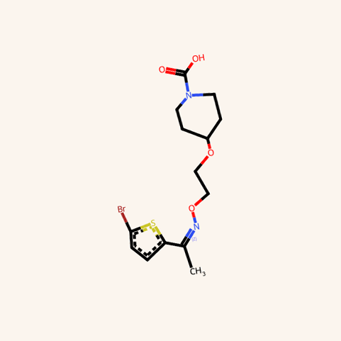 C/C(=N/OCCOC1CCN(C(=O)O)CC1)c1ccc(Br)s1